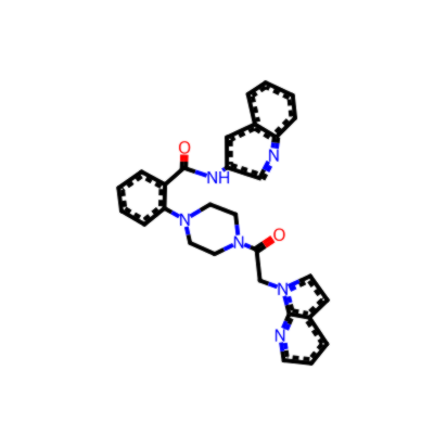 O=C(Nc1cnc2ccccc2c1)c1ccccc1N1CCN(C(=O)Cn2ccc3cccnc32)CC1